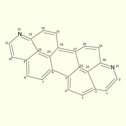 c1cc2ccc3c4ccc5ccnc6ccc(c7ccc(n1)c2c37)c4c56